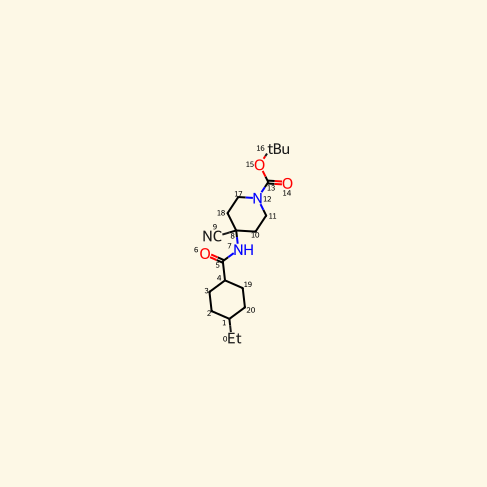 CCC1CCC(C(=O)NC2(C#N)CCN(C(=O)OC(C)(C)C)CC2)CC1